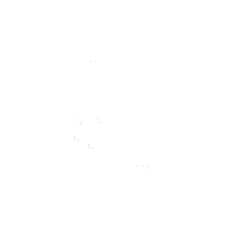 CCCCCCCCCCCn1nnnc1CCC(=O)O